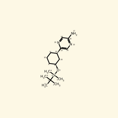 CC(C)(C)[Si](C)(C)O[C@H]1CCC[C@@H](c2cnc(N)cn2)C1